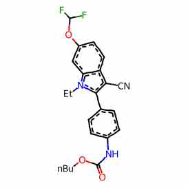 CCCCOC(=O)Nc1ccc(-c2c(C#N)c3ccc(OC(F)F)cc3n2CC)cc1